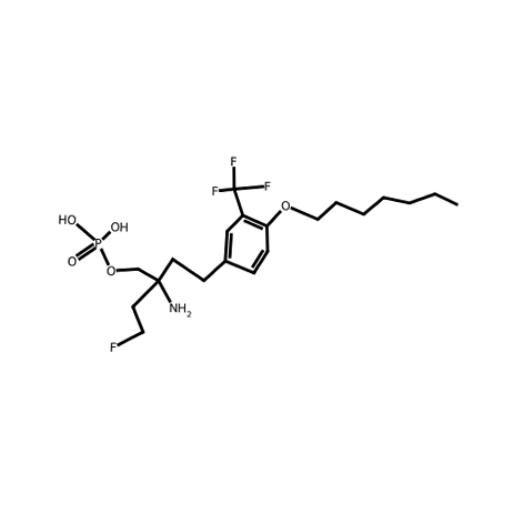 CCCCCCCOc1ccc(CCC(N)(CCF)COP(=O)(O)O)cc1C(F)(F)F